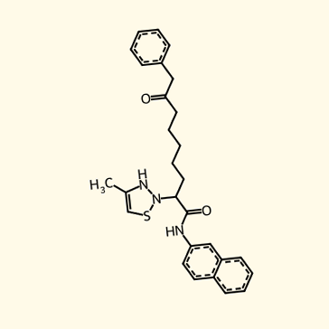 CC1=CSN(C(CCCCCC(=O)Cc2ccccc2)C(=O)Nc2ccc3ccccc3c2)N1